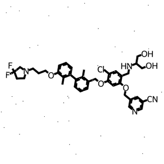 Cc1c(COc2cc(OCc3cncc(C#N)c3)c(CNC(CO)CO)cc2Cl)cccc1-c1cccc(OCCCN2CCC(F)(F)C2)c1C